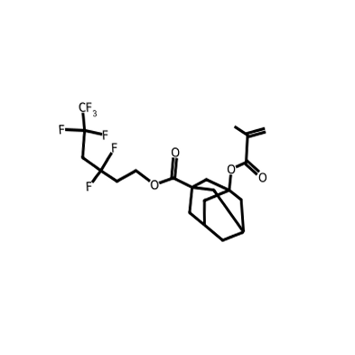 C=C(C)C(=O)OC12CC3CC(C1)CC(C(=O)OCCC(F)(F)CC(F)(F)C(F)(F)F)(C3)C2